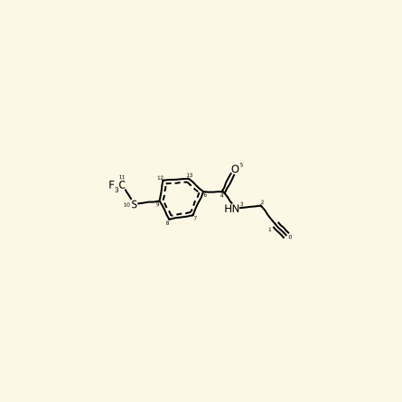 C#CCNC(=O)c1ccc(SC(F)(F)F)cc1